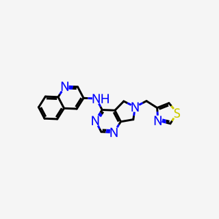 c1ccc2ncc(Nc3ncnc4c3CN(Cc3cscn3)C4)cc2c1